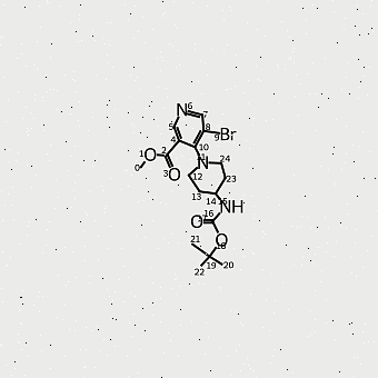 COC(=O)c1cncc(Br)c1N1CCC(NC(=O)OC(C)(C)C)CC1